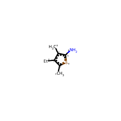 CCc1c(C)sc(N)c1C